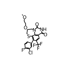 COCCO[C@@H]1CSc2c(-c3ccc(F)c(Cl)c3)c(C(F)(F)F)cc3c(=O)[nH]c(=O)n(c23)C1